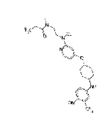 CCN(CCN(C)C(=O)CC(F)(F)F)c1cc(O[C@H]2CC[C@H](Nc3ccc(N=O)c(C(F)(F)F)c3)CC2)ccn1